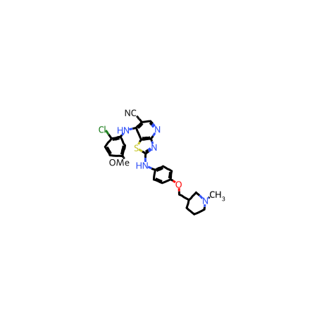 COc1ccc(Cl)c(Nc2c(C#N)cnc3nc(Nc4ccc(OCC5CCCN(C)C5)cc4)sc23)c1